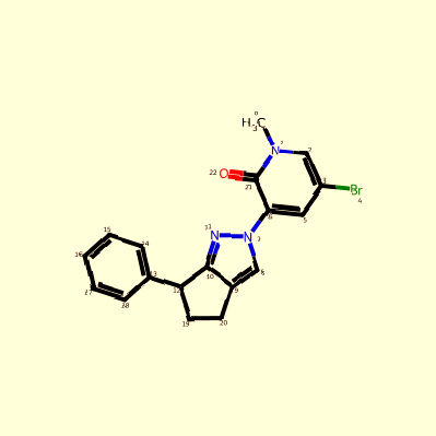 Cn1cc(Br)cc(-n2cc3c(n2)C(c2ccccc2)CC3)c1=O